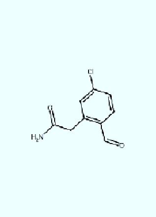 NC(=O)Cc1cc(Cl)ccc1C=O